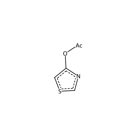 CC(=O)Oc1cscn1